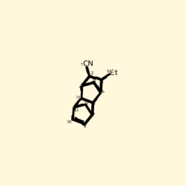 CCC1C(C#N)C2CC1C1C3C=CC(C3)C21